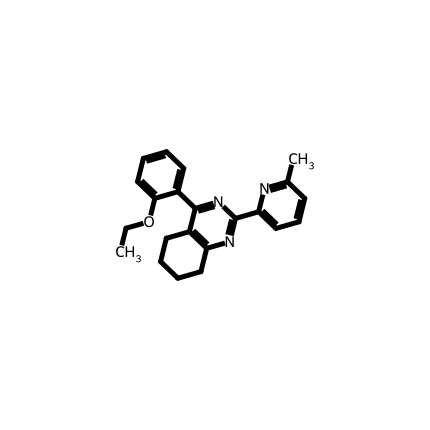 CCOc1ccccc1-c1nc(-c2cccc(C)n2)nc2c1CCCC2